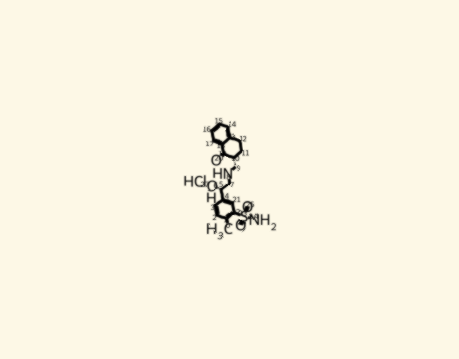 Cc1ccc([C@H](O)CNC[C@H]2CCc3ccccc3C2=O)cc1S(N)(=O)=O.Cl